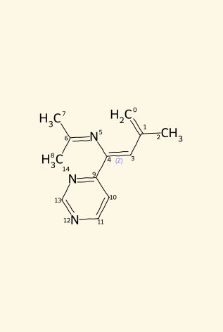 C=C(C)/C=C(\N=C(C)C)c1ccncn1